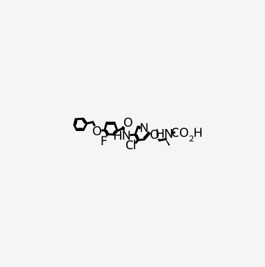 C[C@@H](COc1cc(Cl)c(NC(=O)c2ccc(OCc3ccccc3)c(F)c2)cn1)NC(=O)O